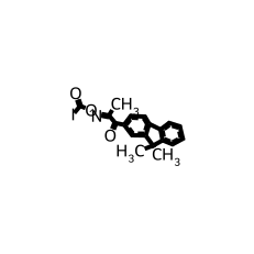 C/C(=N\OC(=O)I)C(=O)c1ccc2c(c1)C(C)(C)c1ccccc1-2